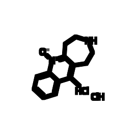 Cc1c2c([n+]([O-])c3ccccc13)CCNCC2.Cl.Cl